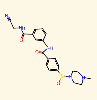 CN1CCN([S+]([O-])c2ccc(C(=O)Nc3cccc(C(=O)NCC#N)c3)cc2)CC1